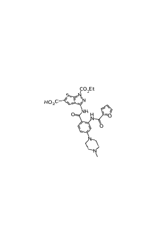 CCOC(=O)n1nc(NC(=O)c2ccc(N3CCN(C)CC3)cc2NC(=O)c2ccco2)c2cc(C(=O)O)sc21